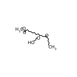 CCCCCC1OC1CCC(CCCCCCCC(=O)OC)OCCCO